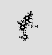 Cc1c(C(C)Nc2nnc(C)c3ccc(OC[C@@H]4CCCN4C)cc23)cccc1C(F)(F)F.Cl